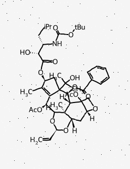 C=C[C@@H]1O[C@H]2C[C@H]3OCC3(OC(C)=O)[C@H]3[C@H](OC(=O)c4ccccc4)C4(C(C)(C)O)C[C@H](OC(=O)[C@H](O)[C@H](CC(C)C)NC(=O)OC(C)(C)C)C(C)=C4[C@H](OC(C)=O)[C@H](O1)[C@]23C